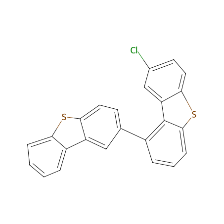 Clc1ccc2sc3cccc(-c4ccc5sc6ccccc6c5c4)c3c2c1